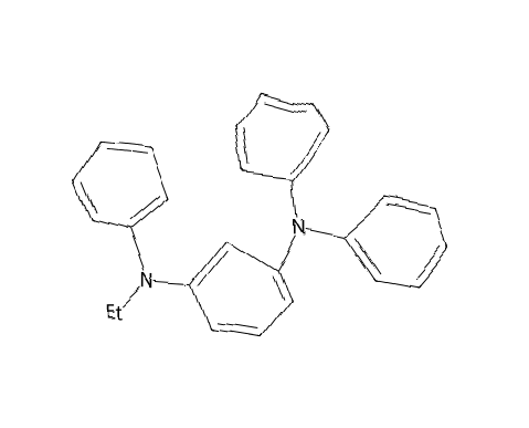 CCN(c1ccccc1)c1cccc(N(c2ccccc2)c2ccccc2)c1